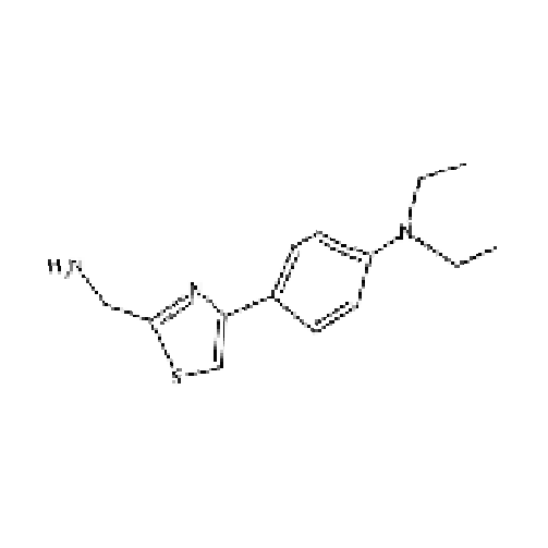 CCN(CC)c1ccc(-c2csc(CN)n2)cc1